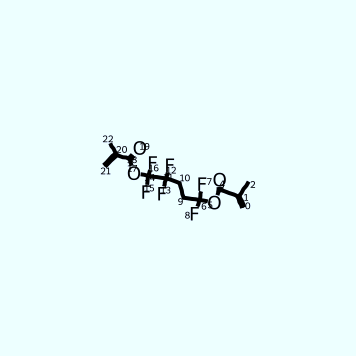 C=C(C)C(=O)OC(F)(F)CCC(F)(F)C(F)(F)OC(=O)C(=C)C